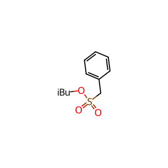 CCC(C)OS(=O)(=O)Cc1ccccc1